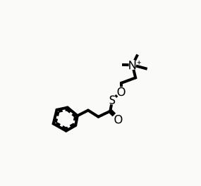 C[N+](C)(C)CCOSC(=O)CCc1ccccc1